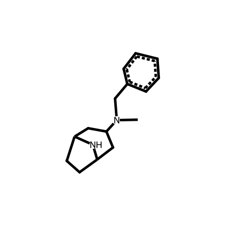 CN(Cc1ccccc1)C1CC2CCC(C1)N2